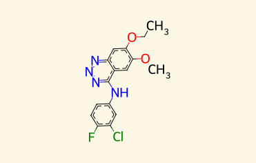 CCOc1cc2nnnc(Nc3ccc(F)c(Cl)c3)c2cc1OC